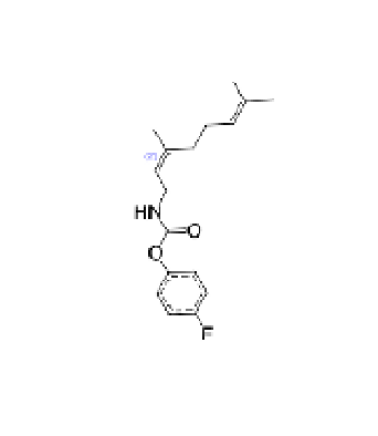 CC(C)=CCC/C(C)=C\CNC(=O)Oc1ccc(F)cc1